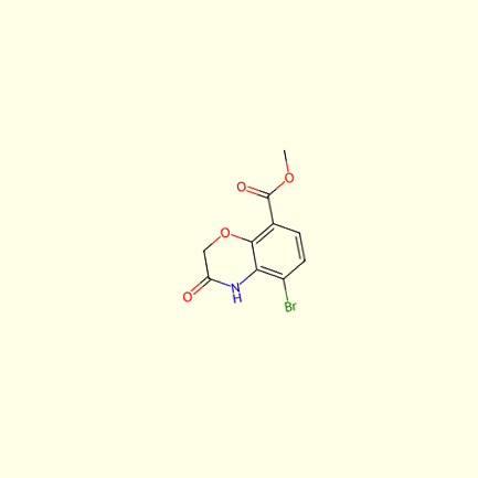 COC(=O)c1ccc(Br)c2c1OCC(=O)N2